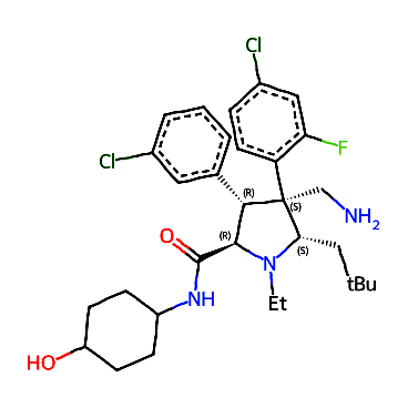 CCN1[C@@H](CC(C)(C)C)[C@](CN)(c2ccc(Cl)cc2F)[C@@H](c2cccc(Cl)c2)[C@@H]1C(=O)NC1CCC(O)CC1